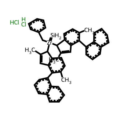 CC1=Cc2c(ccc(C)c2-c2cccc3ccccc23)[CH]1[Zr](=[SiH2])([CH2]c1ccccc1)[CH]1C(C)=Cc2c1ccc(C)c2-c1cccc2ccccc12.Cl.Cl